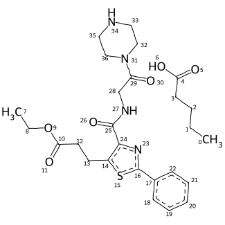 CCCCC(=O)O.CCOC(=O)CCc1sc(-c2ccccc2)nc1C(=O)NCC(=O)N1CCNCC1